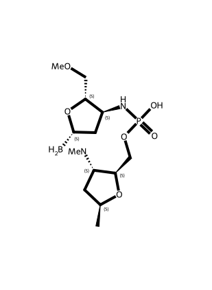 B[C@H]1C[C@H](NP(=O)(O)OC[C@H]2O[C@@H](C)C[C@@H]2NC)[C@@H](COC)O1